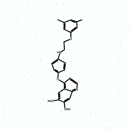 COc1cc2nccc(Oc3ccc(NCCOc4cc(C)cc(C)c4)cc3)c2cc1OC